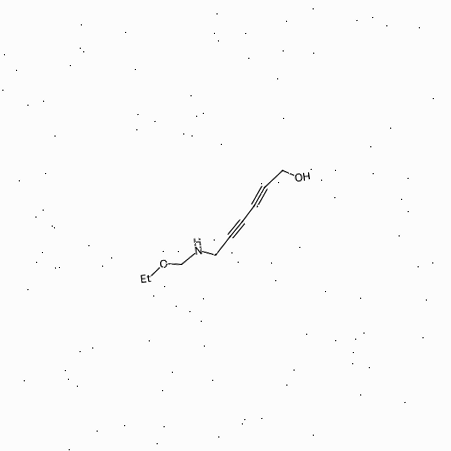 CCOCNCC#CC#CCO